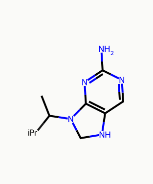 CC(C)C(C)N1CNc2cnc(N)nc21